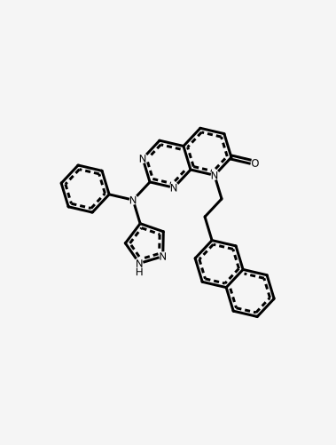 O=c1ccc2cnc(N(c3ccccc3)c3cn[nH]c3)nc2n1CCc1ccc2ccccc2c1